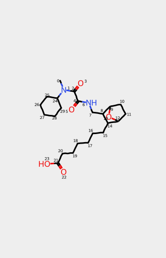 CN(C(=O)C(=O)NCC1C2CCC(O2)C1CCCCCCC(=O)O)C1CCCCC1